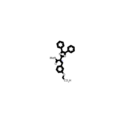 CNC(=O)/C(=C\c1cccc(OCC(=O)O)c1)c1nc(-c2ccccc2)c(-c2ccccc2)o1